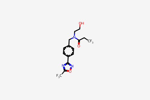 O=C(CC(F)(F)F)N(CCO)Cc1ccc(-c2noc(C(F)(F)F)n2)cc1